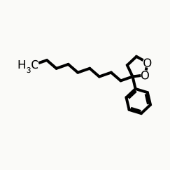 CCCCCCCCCC1(c2ccccc2)CCOO1